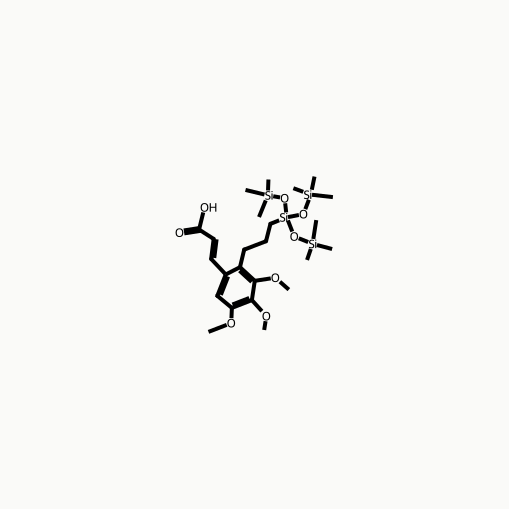 COc1cc(C=CC(=O)O)c(CCC[Si](O[Si](C)(C)C)(O[Si](C)(C)C)O[Si](C)(C)C)c(OC)c1OC